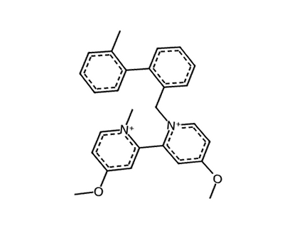 COc1cc[n+](C)c(-c2cc(OC)cc[n+]2Cc2ccccc2-c2ccccc2C)c1